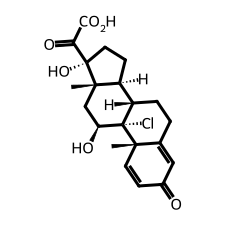 C[C@]12C=CC(=O)C=C1CC[C@H]1[C@@H]3CC[C@](O)(C(=O)C(=O)O)[C@@]3(C)C[C@H](O)[C@@]12Cl